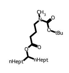 CCCCCCCC(CCCCCCC)OC(=O)CCCN(C)C(=O)OC(C)(C)C